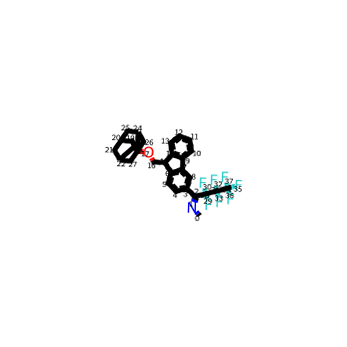 C/N=C(/c1ccc2c(c1)-c1ccccc1C2COC12CC3CC(CC(C3)C1)C2)C(F)(F)C(F)(F)C(F)(F)F